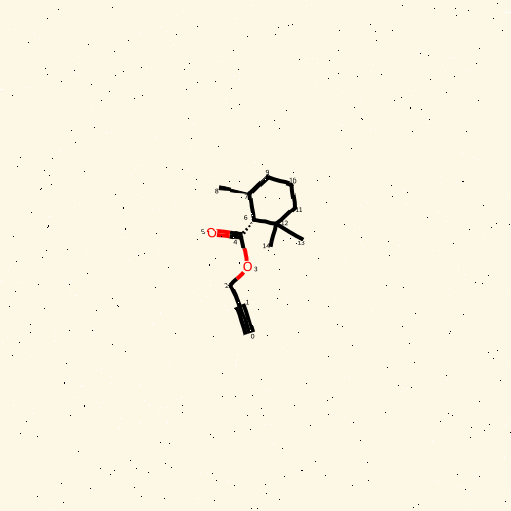 C#CCOC(=O)[C@@H]1[C@@H](C)CCCC1(C)C